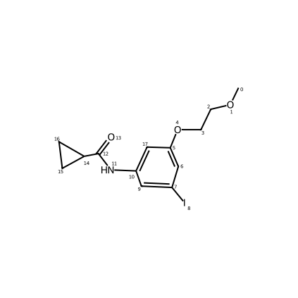 COCCOc1cc(I)cc(NC(=O)C2CC2)c1